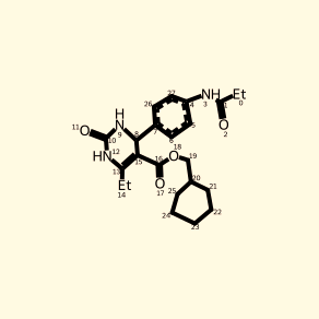 CCC(=O)Nc1ccc(C2NC(=O)NC(CC)=C2C(=O)OCC2CCCCC2)cc1